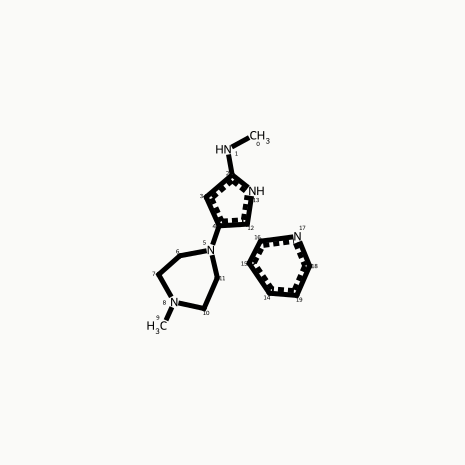 CNc1cc(N2CCN(C)CC2)c[nH]1.c1ccncc1